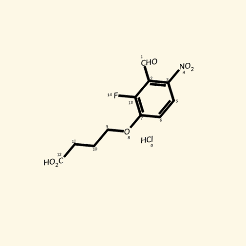 Cl.O=Cc1c([N+](=O)[O-])ccc(OCCCC(=O)O)c1F